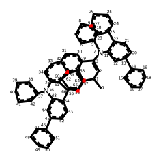 CC1C=C(N(c2ccccc2)c2cc(-c3ccccc3)ccc2-c2ccccc2)c2ccc3ccc(N(c4ccccc4)c4cc(-c5ccccc5)ccc4C4=CC=CCC4)c4c3c2C1C=C4